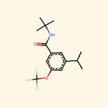 CC(C)c1cc(OC(F)(F)F)cc(C(=O)NC(C)(C)C)c1